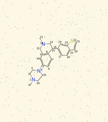 CN1CCN(c2ccc3c(c2)CN(C)CC3c2ccc3ccsc3c2)CC1